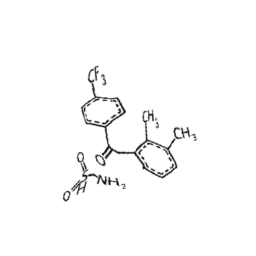 Cc1cccc(C(=O)c2ccc(C(F)(F)F)cc2)c1C.N[SH](=O)=O